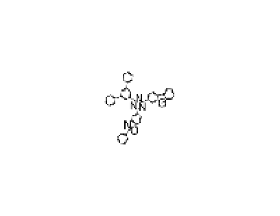 c1ccc(-c2cc(-c3ccccc3)cc(-c3nc(-c4ccc5oc(-c6ccccc6)nc5c4)nc(-c4ccc5c(c4)oc4ccccc45)n3)c2)cc1